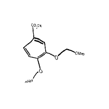 CCCCCCOc1ccc(C(=O)OCC)cc1OCOC